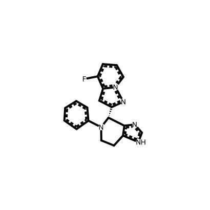 Fc1cccn2nc([C@@H]3c4nc[nH]c4CCN3c3ccccc3)cc12